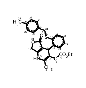 CCOC(=O)OC1=C(C)NC2=C(C(=O)OC2)C1c1ccccc1SCc1ccc(C)cc1